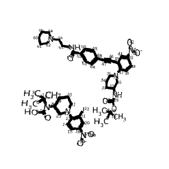 CC(C)(C)N(C(=O)O)C1CCCN(c2ccc([N+](=O)[O-])cc2I)C1.CC(C)(C)OC(=O)NC1CCCN(c2ccc([N+](=O)[O-])cc2C#Cc2ccc(C(=O)NCCN3CCCCC3)cc2)C1